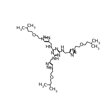 CC(C)CCOCCn1cc(CNc2nc(NCc3cn(CCOCCC(C)C)nn3)nc(NCc3cn(CCOCCC(C)C)nn3)n2)nn1